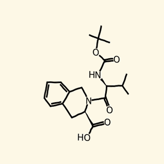 CC(C)[C@H](NC(=O)OC(C)(C)C)C(=O)N1Cc2ccccc2C[C@@H]1C(=O)O